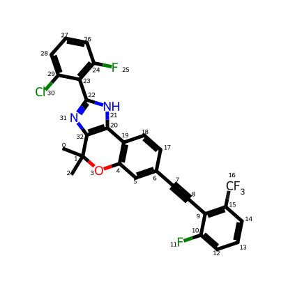 CC1(C)Oc2cc(C#Cc3c(F)cccc3C(F)(F)F)ccc2-c2[nH]c(-c3c(F)cccc3Cl)nc21